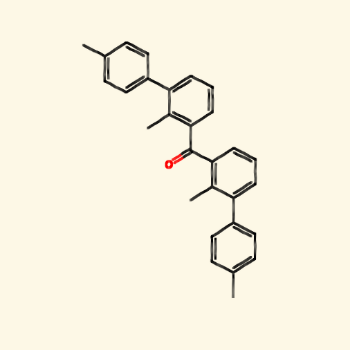 Cc1ccc(-c2cccc(C(=O)c3cccc(-c4ccc(C)cc4)c3C)c2C)cc1